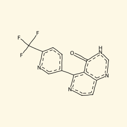 O=c1[nH]cnc2ccnc(-c3ccc(C(F)(F)F)nc3)c12